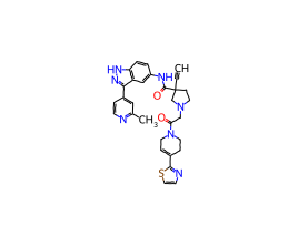 C#CC1(C(=O)Nc2ccc3[nH]nc(-c4ccnc(C)c4)c3c2)CCN(CC(=O)N2CC=C(c3nccs3)CC2)C1